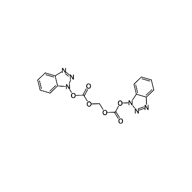 O=C(OCOC(=O)On1nnc2ccccc21)On1nnc2ccccc21